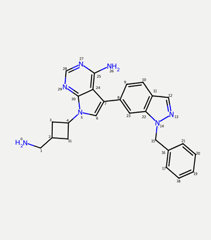 NCC1CC(n2cc(-c3ccc4cnn(Cc5ccccc5)c4c3)c3c(N)ncnc32)C1